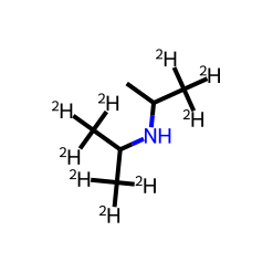 [2H]C([2H])([2H])C(C)NC(C([2H])([2H])[2H])C([2H])([2H])[2H]